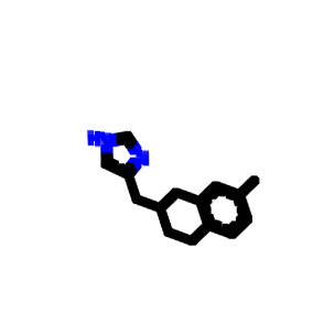 Cc1ccc2c(c1)CC(Cc1c[nH]cn1)CC2